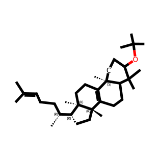 CC(C)=CCC[C@@H](C)[C@H]1CC[C@@]2(C)C3=C(CC[C@]12C)[C@@]1(C)CCC(OC(C)(C)C)C(C)(C)C1CC3